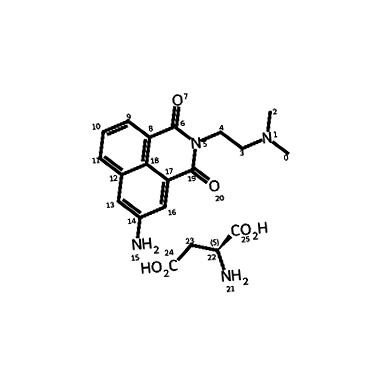 CN(C)CCN1C(=O)c2cccc3cc(N)cc(c23)C1=O.N[C@@H](CC(=O)O)C(=O)O